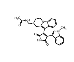 CC(=O)NCC1CCn2c(c(C3=C(c4cn(C)c5ccccc45)C(=O)NC3=O)c3ccccc32)C1